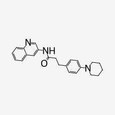 O=C(CCc1ccc(N2CCCCC2)cc1)Nc1cnc2ccccc2c1